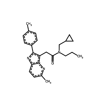 CCCN(CC1CC1)C(=O)Cc1c(-c2ccc(C)cc2)nc2ccc(C)nn12